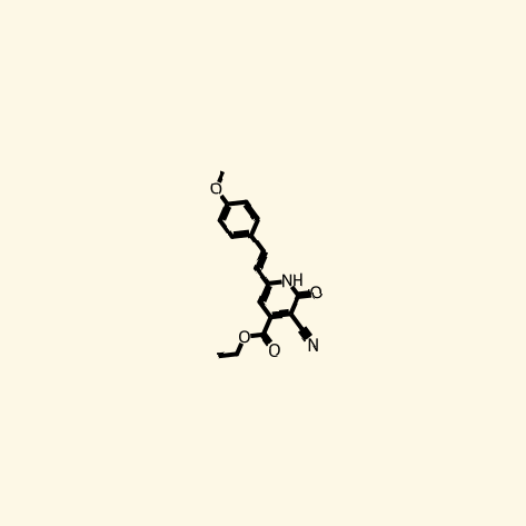 CCOC(=O)c1cc(C=Cc2ccc(OC)cc2)[nH]c(=O)c1C#N